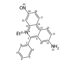 CC[n+]1c(-c2ccccc2)c2cc(N)ccc2c2ccc(N=O)cc21